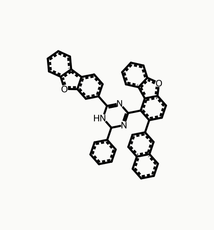 c1ccc(C2N=C(c3c(-c4ccc5ccccc5c4)ccc4oc5ccccc5c34)N=C(c3ccc4c(c3)oc3ccccc34)N2)cc1